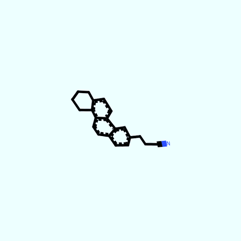 N#CCCc1ccc2ccc3c4c(ccc3c2c1)CCCC4